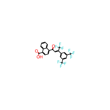 O=C(O)c1ccc(C(=O)C=C(c2cc(C(F)(F)F)cc(C(F)(F)F)c2)C(F)(F)F)c2ccccc12